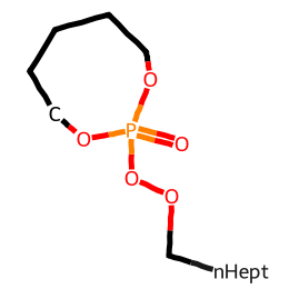 CCCCCCCCOOP1(=O)OCCCCCO1